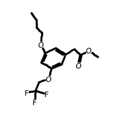 CCCCOc1cc(CC(=O)OC)cc(OCC(F)(F)F)c1